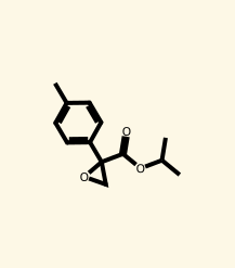 Cc1ccc(C2(C(=O)OC(C)C)CO2)cc1